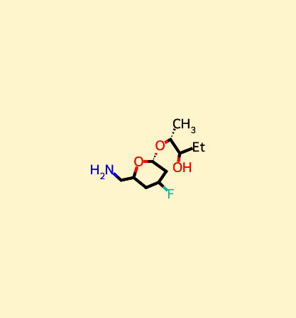 CCC(O)[C@@H](C)O[C@@H]1CC(F)CC(CN)O1